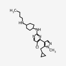 CCCCNC1CCC(Nc2ncc(Cl)c(-c3cnn(C)c3CC3CC3)n2)CC1